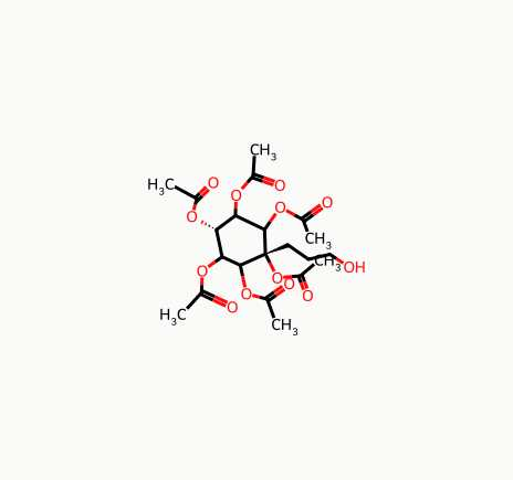 CC(=O)OC1C(OC(C)=O)[C@](CCCO)(OC(C)=O)C(OC(C)=O)C(OC(C)=O)[C@@H]1OC(C)=O